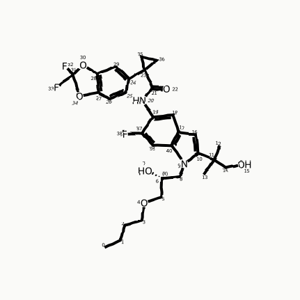 CCCCOC[C@H](O)Cn1c(C(C)(C)CO)cc2cc(NC(=O)C3(c4ccc5c(c4)OC(F)(F)O5)CC3)c(F)cc21